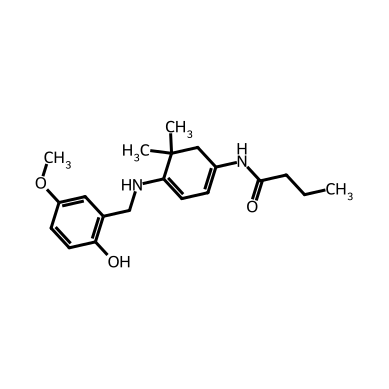 CCCC(=O)NC1=CC=C(NCc2cc(OC)ccc2O)C(C)(C)C1